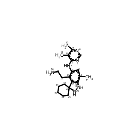 Cc1cc(Nc2ncnc(N)c2C)c(CCN)c2c1NNC21CCCCC1